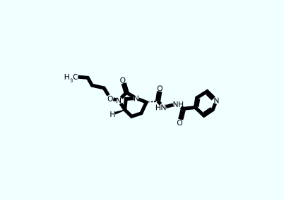 CCCCON1C(=O)N2C[C@@H]1CC[C@H]2C(=O)NNC(=O)c1ccncc1